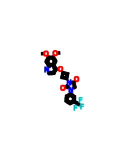 COc1cc2nccc(O[C@H]3C[C@H](N4C(=O)CN(c5cccc(C(F)(F)F)c5)C4=O)C3)c2cc1OC